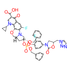 O=C(O)c1cn(C2CC2)c2c3c(c(F)cc2c1=O)N1C[C@@](COc2ccc(N4CC(Cn5ccnn5)OC4=O)cc2F)(OP(=O)(OCc2ccccc2)OCc2ccccc2)C[C@@H]1CO3